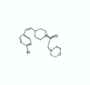 CC(C)c1ccc(/C=C\C2CCN(C(=O)CN3CCOCC3)CC2)cc1